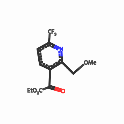 CCOC(=O)C(=O)c1ccc(C(F)(F)F)nc1COC